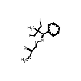 COC(=O)CON=C(c1ccccc1)C(C)(CI)CI